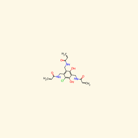 C=CC(=O)NCc1c(O)c(Cl)c(CNC(=O)C=C)c(CNC(=O)C=C)c1O